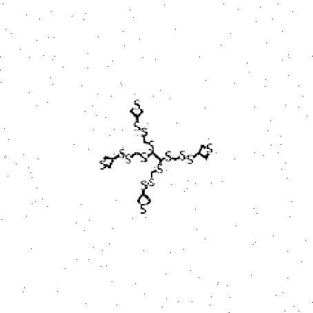 C(SSC1CSC1)SC(SCSSC1CSC1)C(SCSSC1CSC1)SCSSC1CSC1